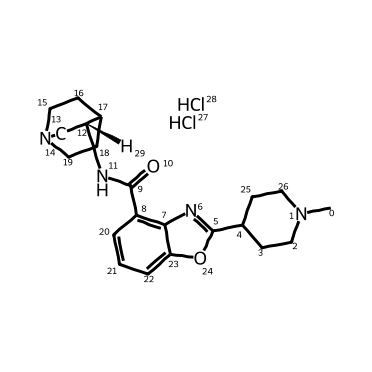 CN1CCC(c2nc3c(C(=O)N[C@@H]4CN5CCC4CC5)cccc3o2)CC1.Cl.Cl